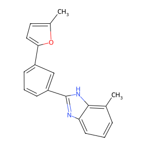 Cc1ccc(-c2cccc(-c3nc4cccc(C)c4[nH]3)c2)o1